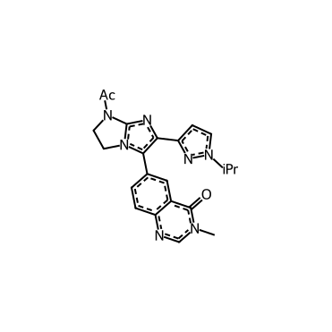 CC(=O)N1CCn2c1nc(-c1ccn(C(C)C)n1)c2-c1ccc2ncn(C)c(=O)c2c1